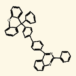 c1ccc(-c2nc(-c3ccc(-c4ccc(C5(c6ccccc6)c6ccccc6Oc6ccccc65)cc4)cc3)c3ccccc3n2)cc1